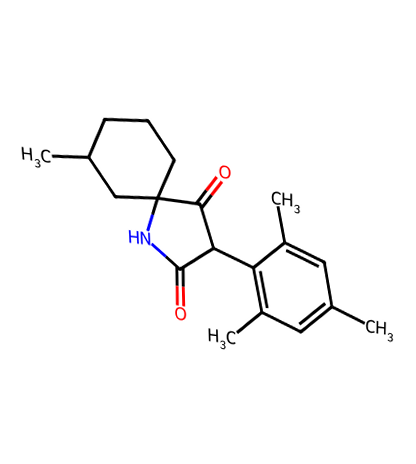 Cc1cc(C)c(C2C(=O)NC3(CCCC(C)C3)C2=O)c(C)c1